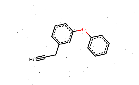 C#CCc1cccc(Oc2ccccc2)c1